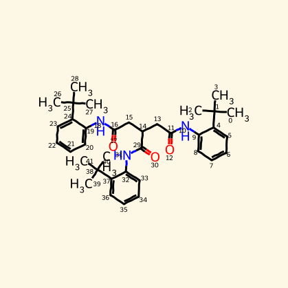 CC(C)(C)c1ccccc1NC(=O)CC(CC(=O)Nc1ccccc1C(C)(C)C)C(=O)Nc1ccccc1C(C)(C)C